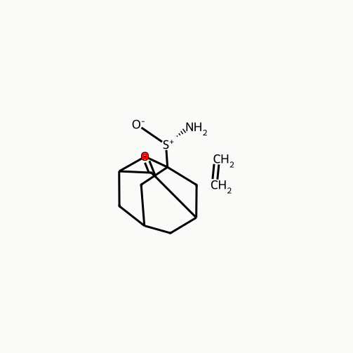 C=C.N[S@@+]([O-])C12CC3CC(C1)C(=O)C(C3)C2